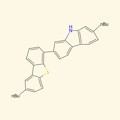 CCCCc1ccc2c(c1)[nH]c1cc(-c3cccc4c3sc3ccc(CCCC)cc34)ccc12